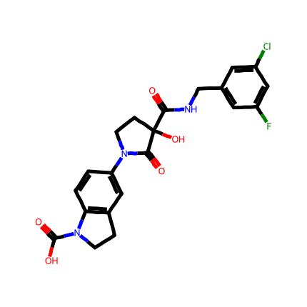 O=C(O)N1CCc2cc(N3CCC(O)(C(=O)NCc4cc(F)cc(Cl)c4)C3=O)ccc21